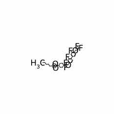 CCCCCC1COC(C2CCC(C(F)(F)Oc3ccc(-c4ccc(OC=C(F)F)c(F)c4)c(F)c3)CC2)OC1